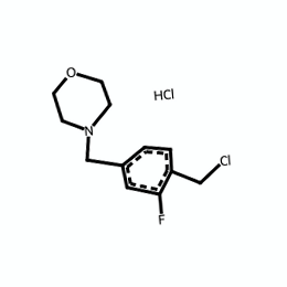 Cl.Fc1cc(CN2CCOCC2)ccc1CCl